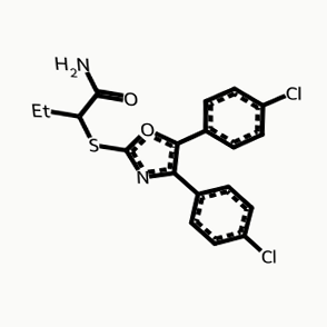 CCC(Sc1nc(-c2ccc(Cl)cc2)c(-c2ccc(Cl)cc2)o1)C(N)=O